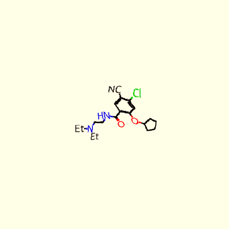 CCN(CC)CCNC(=O)c1cc(C#N)c(Cl)cc1OC1CCCC1